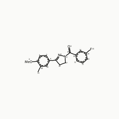 COc1ccc(C2=NN(C(=O)c3cccc(F)c3)CC2)cc1C